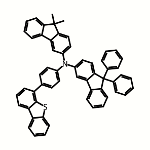 CC1(C)c2ccccc2-c2cc(N(c3ccc(-c4cccc5c4sc4ccccc45)cc3)c3ccc4c(c3)-c3ccccc3C4(c3ccccc3)c3ccccc3)ccc21